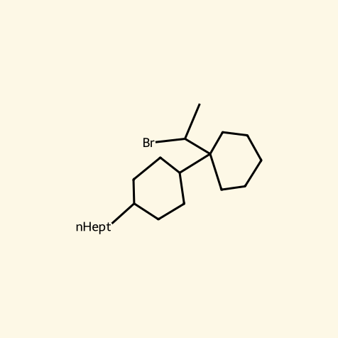 CCCCCCCC1CCC(C2(C(C)Br)CCCCC2)CC1